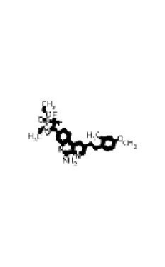 CCOP(=O)(OCC)C(F)(F)C(=O)c1ccc2c(c1)nc(N)c1ncc(CCc3ccc(OC)cc3C)cc12